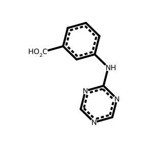 O=C(O)c1cccc(Nc2ncncn2)c1